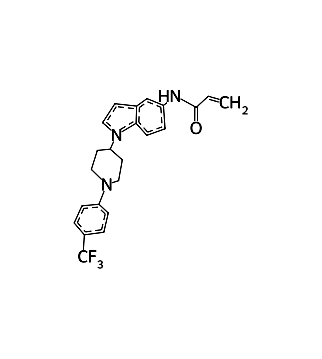 C=CC(=O)Nc1ccc2c(ccn2C2CCN(c3ccc(C(F)(F)F)cc3)CC2)c1